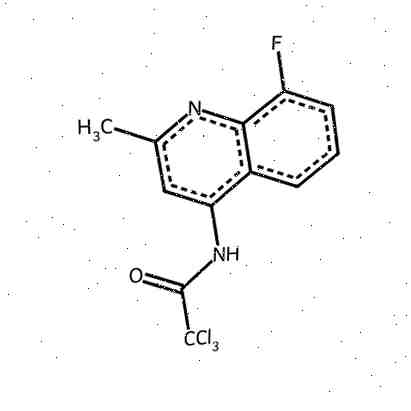 Cc1cc(NC(=O)C(Cl)(Cl)Cl)c2cccc(F)c2n1